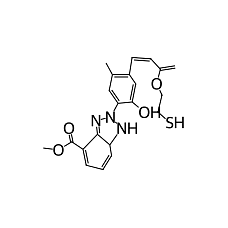 C=C(/C=C\c1cc(O)c(N2N=C3C(C(=O)OC)=CC=CC3N2)cc1C)OCCS